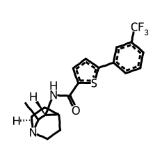 C[C@H]1[C@H](NC(=O)c2ccc(-c3cccc(C(F)(F)F)c3)s2)C2CCN1CC2